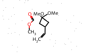 C=CC1CC(OC)(OC)C1.COC=O